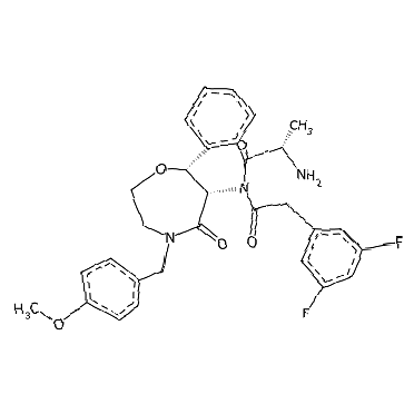 COc1ccc(CN2CCO[C@H](c3ccccc3)[C@H](N(C(=O)Cc3cc(F)cc(F)c3)C(=O)[C@H](C)N)C2=O)cc1